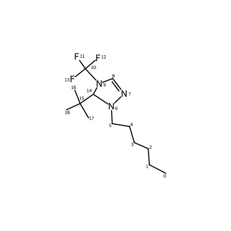 CCCCCCN1N=CN(C(F)(F)F)C1C(C)(C)C